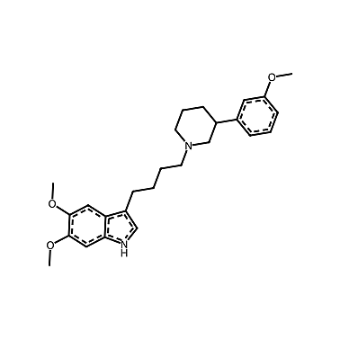 COc1cccc(C2CCCN(CCCCc3c[nH]c4cc(OC)c(OC)cc34)C2)c1